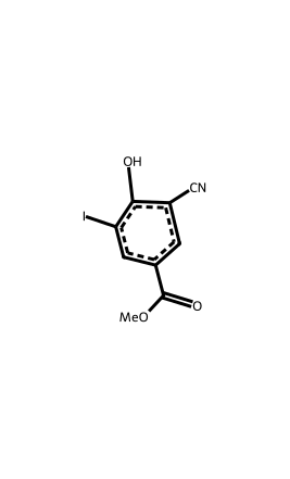 COC(=O)c1cc(I)c(O)c(C#N)c1